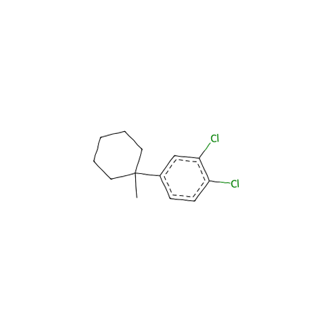 CC1(c2ccc(Cl)c(Cl)c2)CCCCC1